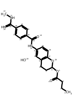 CCCC(=O)OC1CCc2cc(NC(=O)c3ccc(C(=N)NC)cc3)ccc2O1.Cl